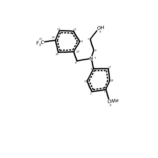 COc1ccc(N(CCO)Cc2cccc(C(F)(F)F)c2)cc1